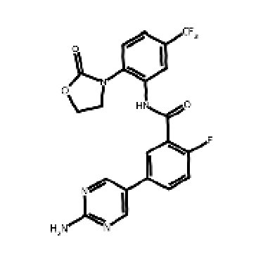 Nc1ncc(-c2ccc(F)c(C(=O)Nc3cc(C(F)(F)F)ccc3N3CCOC3=O)c2)cn1